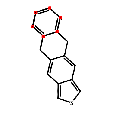 c1ccc2c(c1)C1c3cc4cscc4cc3C2c2ncccc21